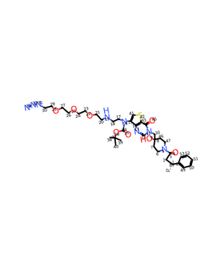 C[C@H](CC(=O)N1CCC(O)(Cn2cnc3c(N(CCNCCOCCOCCOCCN=[N+]=[N-])C(=O)OC(C)(C)C)csc3c2=O)CC1)c1ccccc1